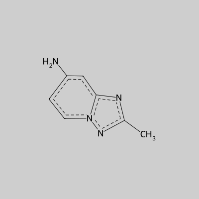 Cc1nc2cc(N)ccn2n1